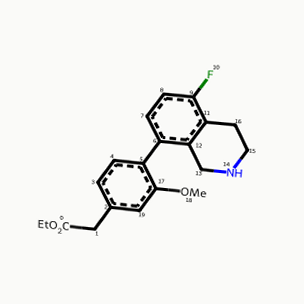 CCOC(=O)Cc1ccc(-c2ccc(F)c3c2CNCC3)c(OC)c1